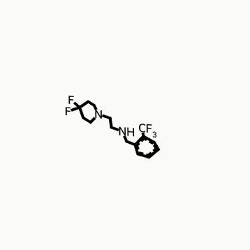 FC1(F)CCN(CCNCc2ccccc2C(F)(F)F)CC1